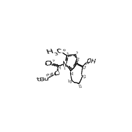 Cc1cc2c(n1C(=O)OC(C)(C)C)CCCC2O